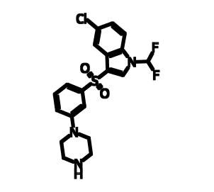 O=S(=O)(c1cccc(N2CCNCC2)c1)c1cn(C(F)F)c2ccc(Cl)cc12